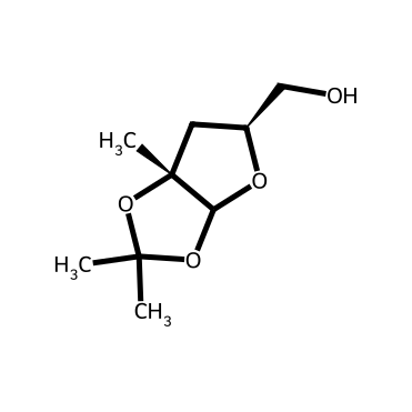 CC1(C)OC2O[C@H](CO)C[C@@]2(C)O1